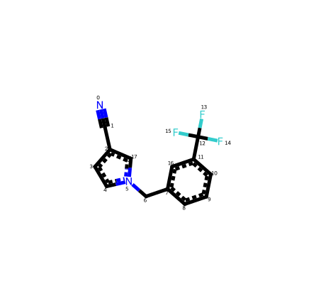 N#Cc1ccn(Cc2cccc(C(F)(F)F)c2)c1